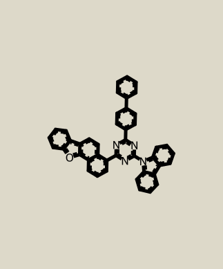 c1ccc(-c2ccc(-c3nc(-c4cccc5c4ccc4c6ccccc6oc54)nc(-n4c5ccccc5c5ccccc54)n3)cc2)cc1